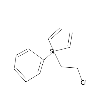 C=C[Si](C=C)(CCCl)c1ccccc1